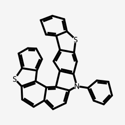 c1ccc(-n2c3cc4sc5ccccc5c4cc3c3c4c(ccc5sc6ccccc6c54)ccc32)cc1